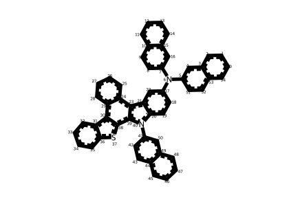 c1ccc2cc(N(c3ccc4ccccc4c3)c3ccc4c(c3)c3c5ccccc5c5c6ccccc6sc5c3n4-c3ccc4ccccc4c3)ccc2c1